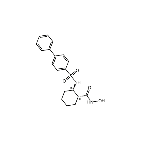 O=C(NO)[C@@H]1CCCC[C@H]1NS(=O)(=O)c1ccc(-c2ccccc2)cc1